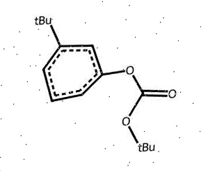 CC(C)(C)OC(=O)Oc1cccc(C(C)(C)C)c1